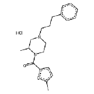 Cc1ccc(C(=O)N2CCN(CCCc3ccccc3)CC2C)o1.Cl